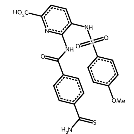 COc1ccc(S(=O)(=O)Nc2ccc(C(=O)O)nc2NC(=O)c2ccc(C(N)=S)cc2)cc1